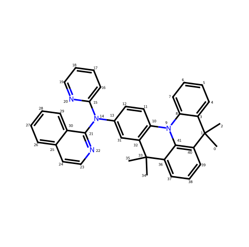 CC1(C)c2ccccc2N2c3ccc(N(c4ccccn4)c4nccc5ccccc45)cc3C(C)(C)c3cccc1c32